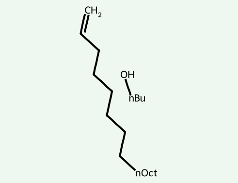 C=CCCCCCCCCCCCCCC.CCCCO